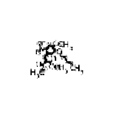 CCCCCOc1cc(C=C(C(=O)OC)C(=O)OC)c([N+](=O)[O-])cc1OC